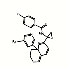 O=C(NC1(C2=NC3(c4cncc(C(F)(F)F)c4)CCCC=C3C=C2)CC1)c1ccc(F)cc1